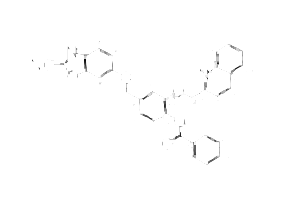 N#Cc1nc2ccc(OCc3ccc(OC(=O)c4ccccc4)c(OCc4ccc5ccccc5n4)c3)cc2o1